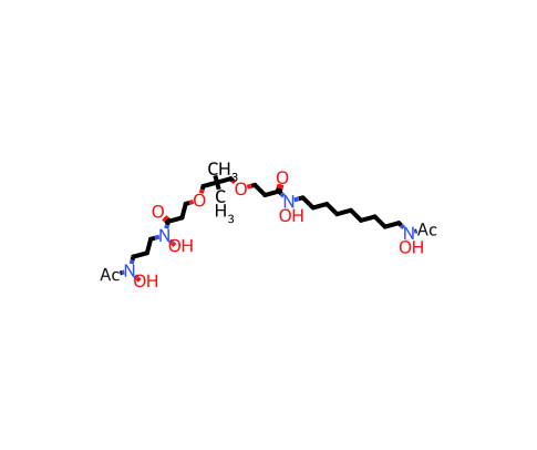 CC(=O)N(O)CCCCCCCCCN(O)C(=O)CCOCC(C)(C)COCCC(=O)N(O)CCCN(O)C(C)=O